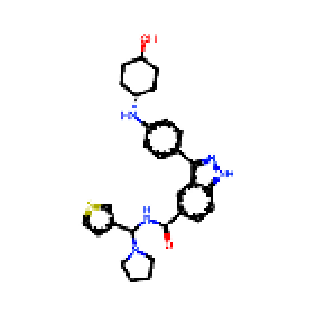 O=C(NC(c1ccsc1)N1CCCC1)c1ccc2[nH]nc(-c3ccc(N[C@H]4CC[C@H](O)CC4)cc3)c2c1